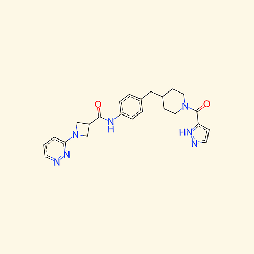 O=C(Nc1ccc(CC2CCN(C(=O)c3ccn[nH]3)CC2)cc1)C1CN(c2cccnn2)C1